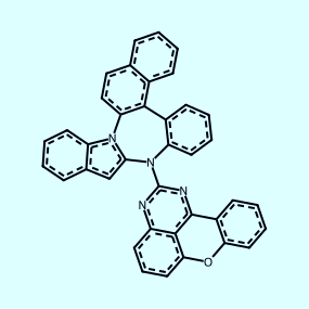 c1ccc2c(c1)Oc1cccc3nc(N4c5ccccc5-c5c(ccc6ccccc56)-n5c4cc4ccccc45)nc-2c13